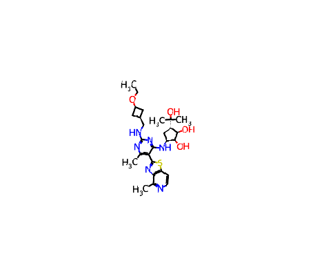 CCO[C@H]1C[C@@H](CNc2nc(C)c(-c3nc4c(C)nccc4s3)c(NC3C[C@H](C(C)(C)O)[C@@H](O)[C@H]3O)n2)C1